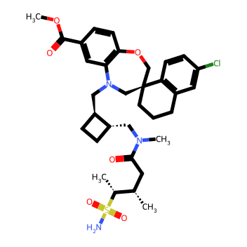 COC(=O)c1ccc2c(c1)N(C[C@@H]1CC[C@H]1CN(C)C(=O)C[C@H](C)[C@@H](C)S(N)(=O)=O)C[C@@]1(CCCc3cc(Cl)ccc31)CO2